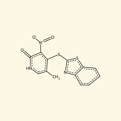 Cc1c[nH]c(=O)c([N+](=O)[O-])c1Sc1nc2ccccc2s1